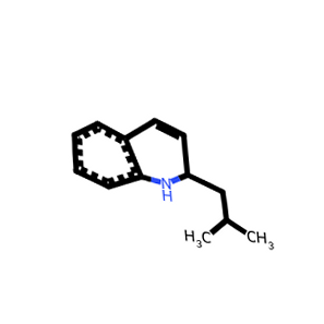 CC(C)CC1C=Cc2ccccc2N1